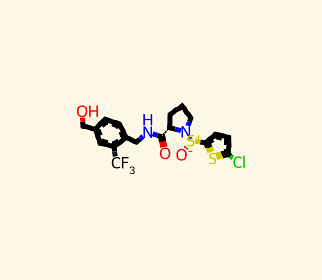 O=C(NCc1ccc(CO)cc1C(F)(F)F)[C@@H]1CCCN1[S+]([O-])c1ccc(Cl)s1